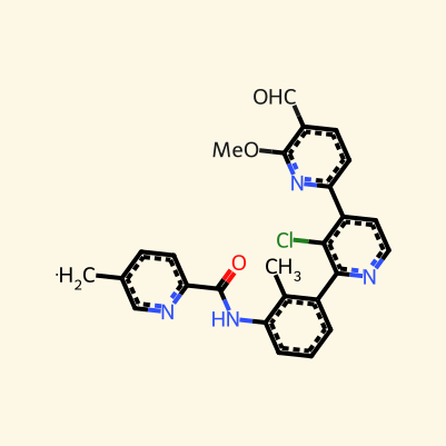 [CH2]c1ccc(C(=O)Nc2cccc(-c3nccc(-c4ccc(C=O)c(OC)n4)c3Cl)c2C)nc1